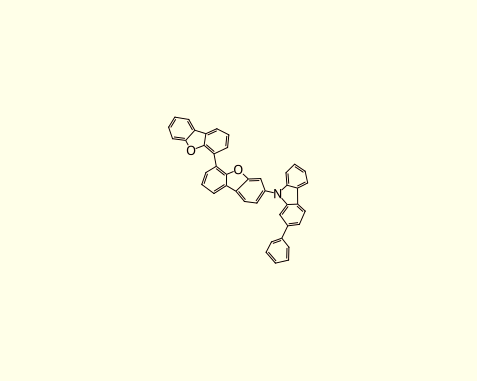 c1ccc(-c2ccc3c4ccccc4n(-c4ccc5c(c4)oc4c(-c6cccc7c6oc6ccccc67)cccc45)c3c2)cc1